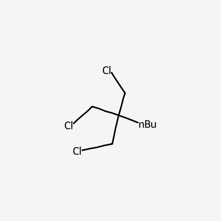 CCCCC(CCl)(CCl)CCl